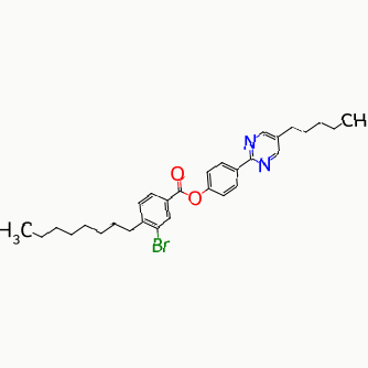 CCCCCCCCc1ccc(C(=O)Oc2ccc(-c3ncc(CCCCC)cn3)cc2)cc1Br